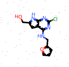 OCc1cc2c(NCc3ccco3)nc(Cl)nc2[nH]1